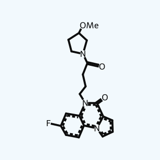 COC1CCN(C(=O)CCCn2c(=O)c3cccn3c3ccc(F)cc32)C1